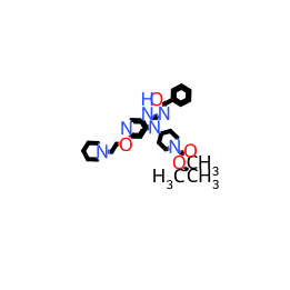 CC(C)(C)OC(=O)N1CCC(n2/c(=N/C(=O)c3ccccc3)[nH]c3cnc(OCCN4CCCCC4)cc32)CC1